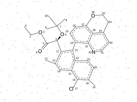 CCOC(=O)[C@@H](OC(C)(C)C)c1c(C)cc2c(Cl)c(C)ccc2c1-c1ccc2c3c(ccnc13)CCO2